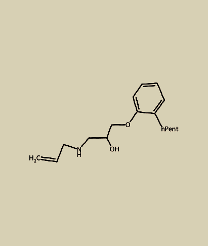 C=CCNCC(O)COc1ccccc1CCCCC